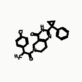 CC(C(=O)N1CCc2nc(C3(c4ccccc4)CC3)[nH]c(=O)c2C1)c1ccc(Cl)cc1